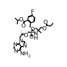 CCC(=O)OCC(C)(C)NP(=O)(CO[C@@H](C)Cn1cnc2c(N)ncnc21)OCc1ccc(F)cc1C(=O)OC(C)C